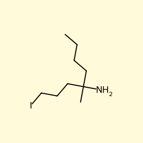 CCCCC(C)(N)CCCI